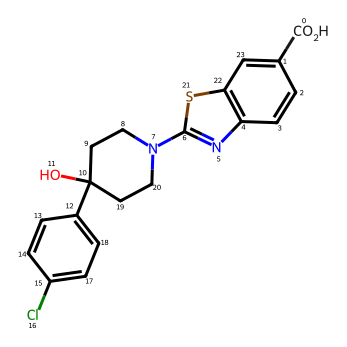 O=C(O)c1ccc2nc(N3CCC(O)(c4ccc(Cl)cc4)CC3)sc2c1